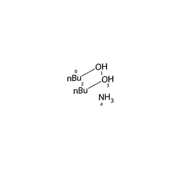 CCCCO.CCCCO.N